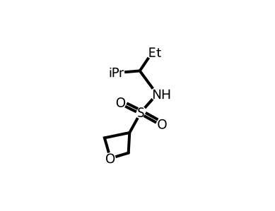 CCC(NS(=O)(=O)C1COC1)C(C)C